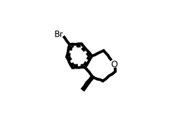 C=C1CCOCc2cc(Br)ccc21